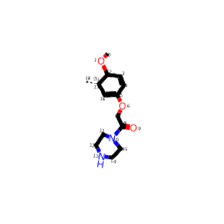 COC1C=CC(OCC(=O)N2CCNCC2)=C[C@@H]1C